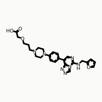 O=C(O)COCCCN1CCN(c2ccc(-c3cnc(NCc4ccco4)n4cnnc34)cc2)CC1